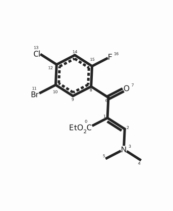 CCOC(=O)/C(=C\N(C)C)C(=O)c1cc(Br)c(Cl)cc1F